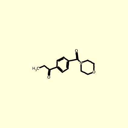 CCC(=O)c1ccc(C(=O)N2CCOCC2)cc1